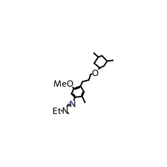 CCN(C)/C=N/c1cc(OC)c(CCCOC2CC(C)CC(C)C2)cc1C